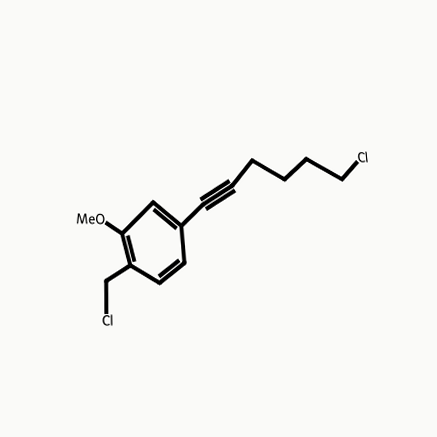 COc1cc(C#CCCCCCl)ccc1CCl